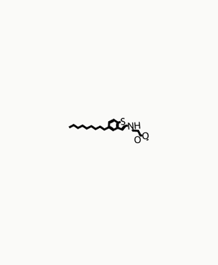 CCCCCCCCCc1ccc2sc(NCCC(=O)OC)cc2c1